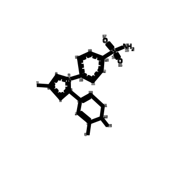 CC1=CC(c2cc(C)cn2-c2ccc(S(N)(=O)=O)cc2)=CCC1C